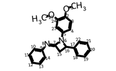 COc1ccc(N2/C(=N/c3ccccc3)CC2c2ccccc2)cc1OC